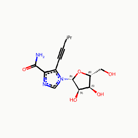 CC(C)C#Cc1c(C(N)=O)ncn1[C@@H]1O[C@H](CO)[C@@H](O)[C@H]1O